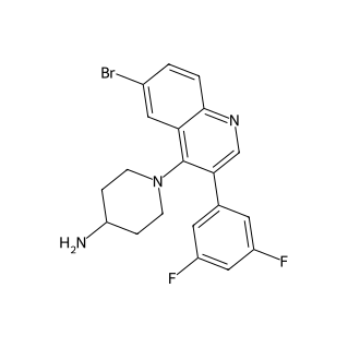 NC1CCN(c2c(-c3cc(F)cc(F)c3)cnc3ccc(Br)cc23)CC1